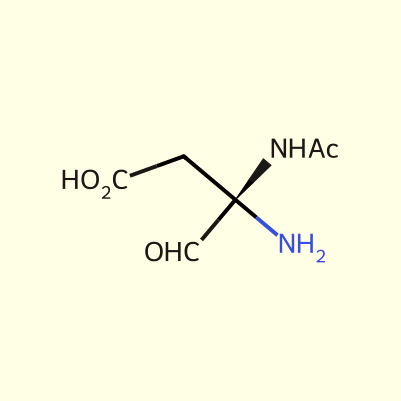 CC(=O)N[C@@](N)(C=O)CC(=O)O